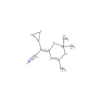 CC1=C/C(=C(\C#N)C2CC2)CC(C)(C)C1